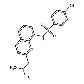 CN(C)Cc1ccc2cccc(NS(=O)(=O)c3ccc(C#N)cc3)c2n1